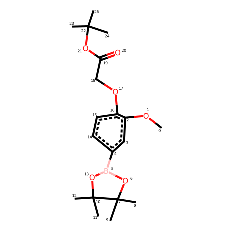 COc1cc(B2OC(C)(C)C(C)(C)O2)ccc1OCC(=O)OC(C)(C)C